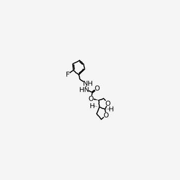 O=C(NNCc1ccccc1F)O[C@H]1CO[C@H]2OCC[C@H]21